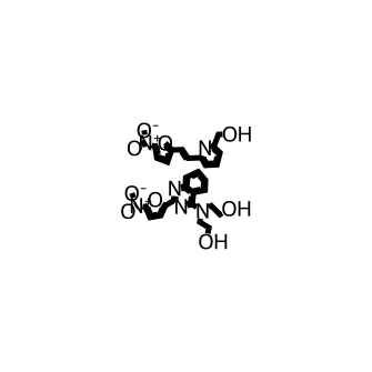 O=[N+]([O-])c1ccc(-c2nc(N(CCO)CCO)c3ccccc3n2)o1.O=[N+]([O-])c1ccc(/C=C/c2cccc(CO)n2)o1